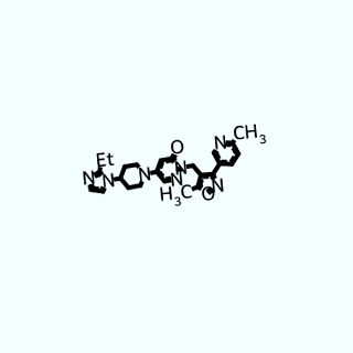 CCc1nccn1C1CCN(c2cnn(Cc3c(-c4ccc(C)nc4)noc3C)c(=O)c2)CC1